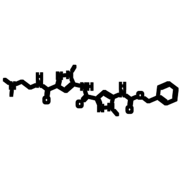 CN(C)CCNC(=O)c1cc(NC(=O)c2cc(NC(=O)OCc3ccccc3)n(C)n2)n(C)n1